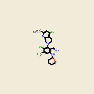 CCOC(=O)c1cc(Cl)c2c(n1)CN(c1c(Cl)c(C)cc(NC3CCCCO3)c1C=N)CC2